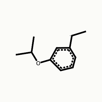 C[CH]c1cccc(OC(C)C)c1